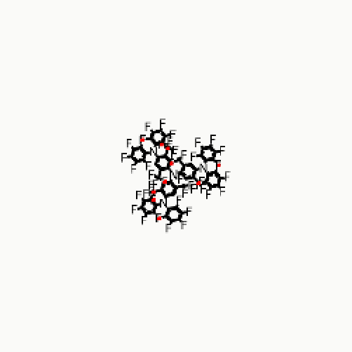 Fc1c(F)c(F)c(N(c2cc(C(F)(F)F)c(N(c3cc(C(F)(F)F)c(N(c4c(F)c(F)c(F)c(F)c4F)c4c(F)c(F)c(F)c(F)c4F)cc3C(F)(F)F)c3cc(C(F)(F)F)c(N(c4c(F)c(F)c(F)c(F)c4F)c4c(F)c(F)c(F)c(F)c4F)cc3C(F)(F)F)cc2C(F)(F)F)c2c(F)c(F)c(F)c(F)c2F)c(F)c1F